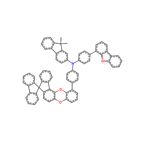 CC1(C)c2ccccc2-c2ccc(N(c3ccc(-c4cccc5c4Oc4c(ccc6c4-c4ccccc4C64c6ccccc6-c6ccccc64)O5)cc3)c3ccc(-c4cccc5c4oc4ccccc45)cc3)cc21